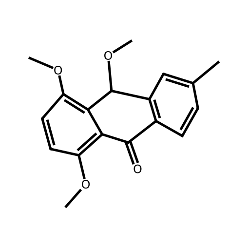 COc1ccc(OC)c2c1C(=O)c1ccc(C)cc1C2OC